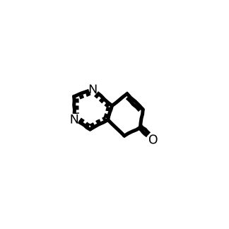 O=C1C=Cc2ncncc2C1